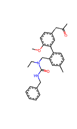 CCN(Cc1cc(C)ccc1-c1cc(CC(C)=O)ccc1OC)C(=O)NCc1ccccc1